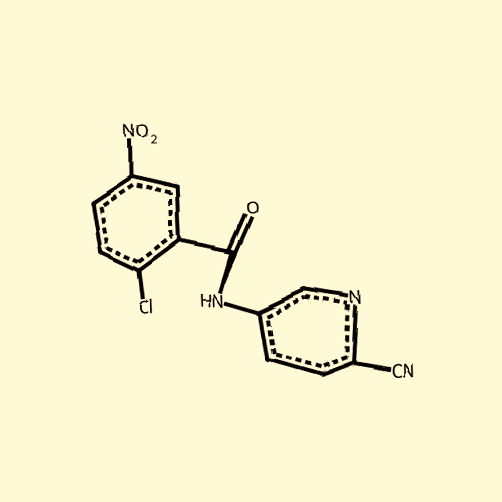 N#Cc1ccc(NC(=O)c2cc([N+](=O)[O-])ccc2Cl)cn1